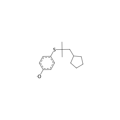 CC(C)(CC1CCCC1)Sc1ccc([O])cc1